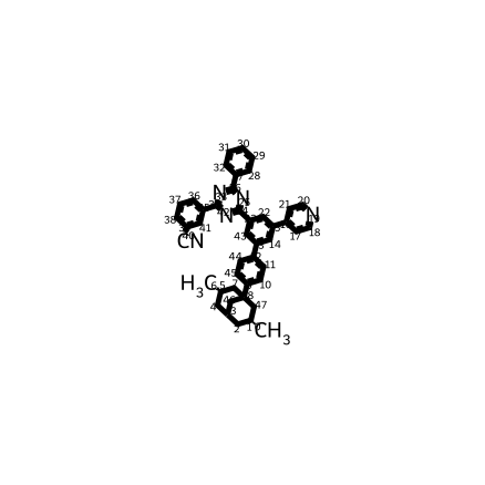 C[C@@H]1CC2C[C@@H](C)CC(c3ccc(-c4cc(-c5ccncc5)cc(-c5nc(-c6ccccc6)nc(-c6cccc(C#N)c6)n5)c4)cc3)(C2)C1